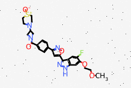 COCCOc1cc2[nH]nc(-c3cc(-c4ccc(C(=O)N5CC(N6CC[S+]([O-])CC6)C5)cc4)no3)c2cc1F